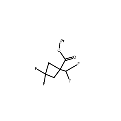 CC(C)OC(=O)C1(C(F)F)CC(F)(F)C1